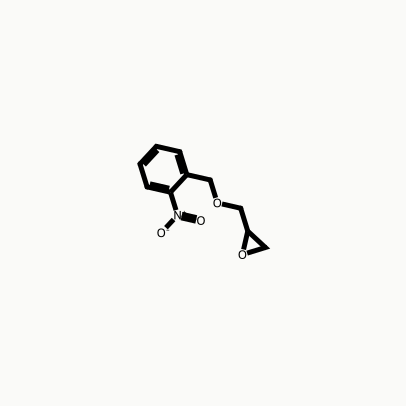 O=[N+]([O-])c1ccccc1COCC1CO1